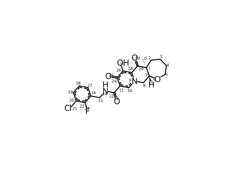 C[C@]12CCCCO[C@@H]1Cn1cc(C(=O)NCc3cccc(Cl)c3F)c(=O)c(O)c1C2=O